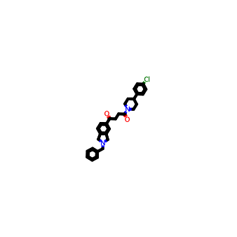 O=C(CCC(=O)N1CCC(c2ccc(Cl)cc2)CC1)c1ccc2c(c1)CN(Cc1ccccc1)C2